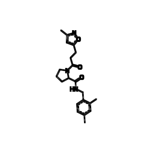 Cc1ccc(CNC(=O)C2CCCN2C(=O)CCc2cc(C)no2)c(C)c1